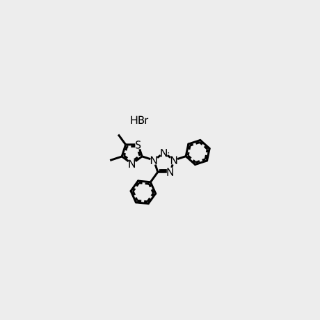 Br.Cc1nc(N2[N]N(c3ccccc3)N=C2c2ccccc2)sc1C